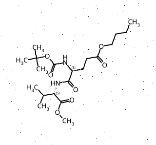 CCCCOC(=O)CC[C@H](NC(=O)OC(C)(C)C)C(=O)N[C@H](C(=O)OC)C(C)C